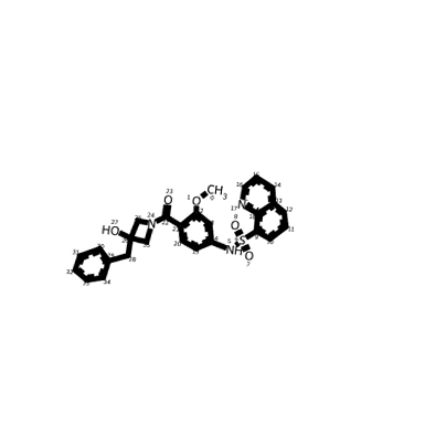 COc1cc(NS(=O)(=O)c2cccc3cccnc23)ccc1C(=O)N1CC(O)(Cc2ccccc2)C1